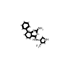 Nc1nc(N[C@H]2CNC[C@@H]2C(F)(F)F)c2c(n1)C(c1ccccc1)CCC2